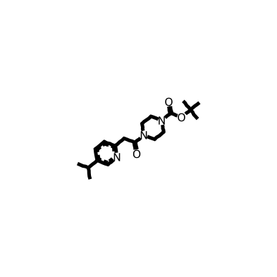 CC(C)c1ccc(CC(=O)N2CCN(C(=O)OC(C)(C)C)CC2)nc1